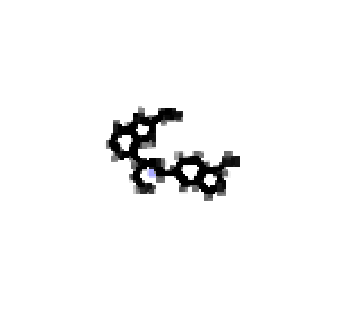 CSc1nc2ncnc(N(CC(C)C)/N=C/c3ccc4c(c3)COB4O)c2s1